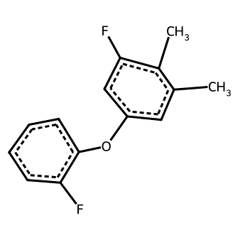 Cc1cc(Oc2ccccc2F)cc(F)c1C